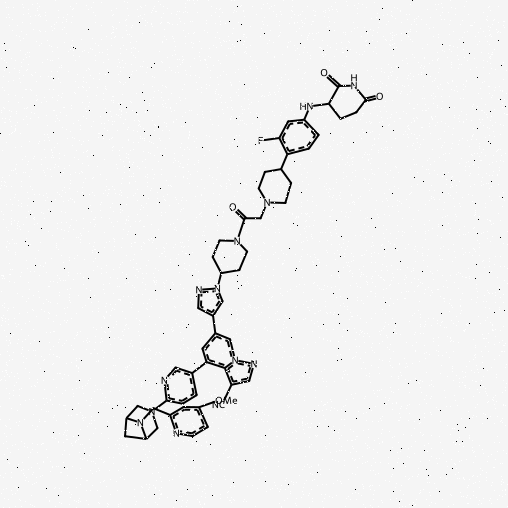 COc1ccnc(CN2C3CC2CN(c2ccc(-c4cc(-c5cnn(C6CCN(C(=O)CN7CCC(c8ccc(NC9CCC(=O)NC9=O)cc8F)CC7)CC6)c5)cn5ncc(C#N)c45)cn2)C3)c1